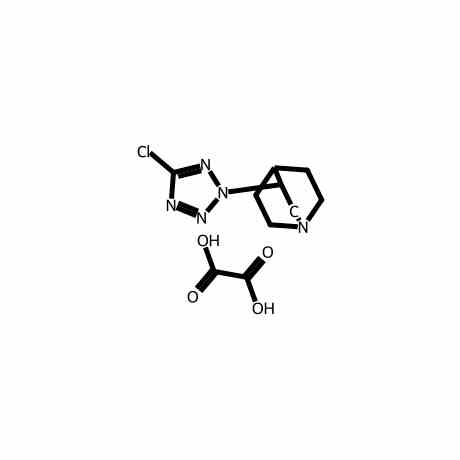 Clc1nnn(C2CN3CCC2CC3)n1.O=C(O)C(=O)O